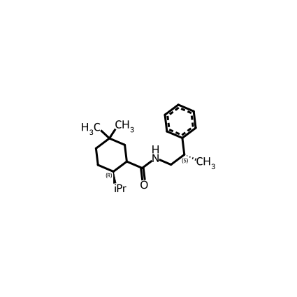 CC(C)[C@H]1CCC(C)(C)CC1C(=O)NC[C@@H](C)c1ccccc1